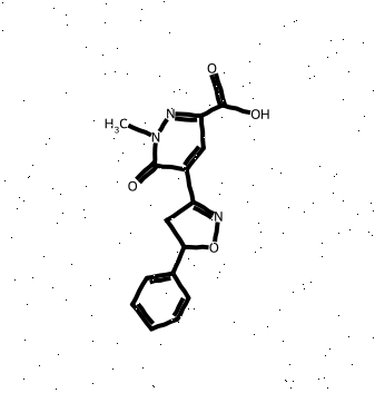 Cn1nc(C(=O)O)cc(C2=NOC(c3ccccc3)C2)c1=O